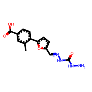 Cc1cc(C(=O)O)ccc1-c1ccc(/C=N/NC(=O)NN)o1